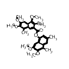 Bc1c(C(=O)Oc2cc(C)cc3c(C)c(OC)c(OC)cc23)cc2c(C)c(OC)c(OC)cc2c1OC